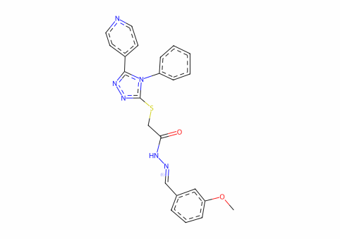 COc1cccc(/C=N/NC(=O)CSc2nnc(-c3ccncc3)n2-c2ccccc2)c1